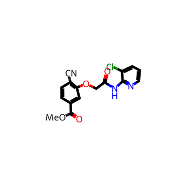 COC(=O)c1ccc(C#N)c(OCC(=O)Nc2ncccc2Cl)c1